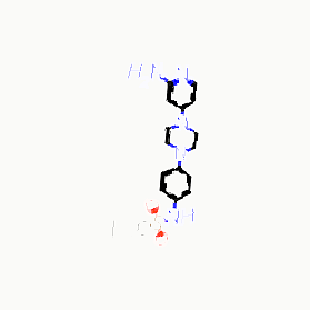 CS(=O)(=O)Nc1ccc(N2CCN(c3ccnc(N)c3)CC2)cc1